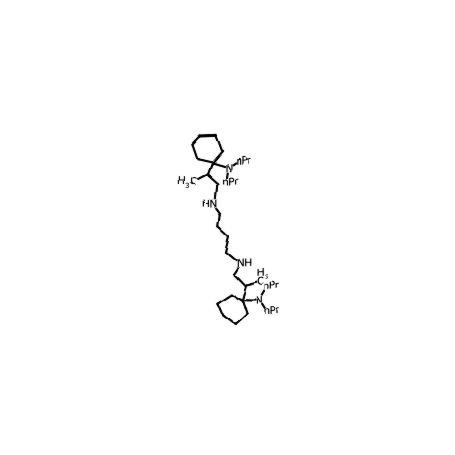 CCCN(CCC)C1(C(C)CNCCCCNCC(C)C2(N(CCC)CCC)CCCCC2)CCCCC1